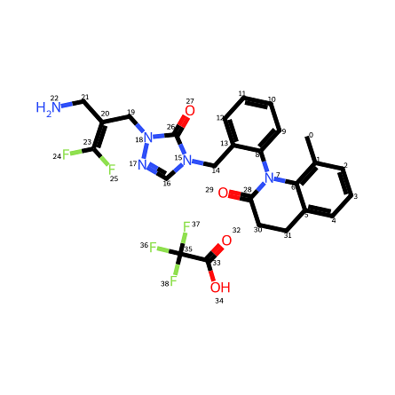 Cc1cccc2c1N(c1ccccc1Cn1cnn(CC(CN)=C(F)F)c1=O)C(=O)CC2.O=C(O)C(F)(F)F